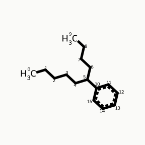 CCCCCC(CCCC)c1ccccc1